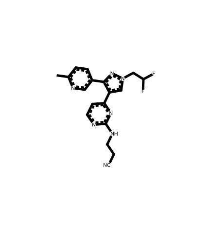 Cc1ccc(-c2nn(CC(F)F)cc2-c2ccnc(NCCC#N)n2)cn1